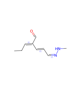 CC\C=C(C=O)/C=C/C=N\NC